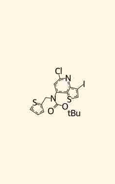 CC(C)(C)OC(=O)N(Cc1cccs1)c1cc(Cl)nc2c(I)csc12